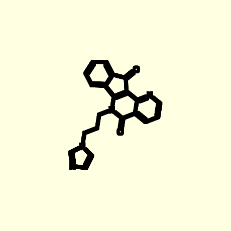 O=C1c2ccccc2-c2c1c1ncccc1c(=O)n2CCCn1ccnc1